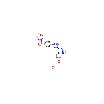 COCCOc1ccc2c(-c3cn(-c4ccc(C(=O)N5CCOCC5)cc4)nn3)n[nH]c2c1